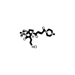 CCCC1C(=O)N(S(C)(=O)=O)[C@@H]2CCN(C(=O)/C=C/C(=O)N3CCN(C)CC3)[C@@H]12.Cl